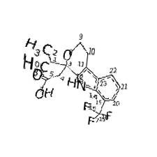 CC(C)C1(CC(=O)O)OCCc2c1[nH]c1c(C(F)(F)F)cccc21